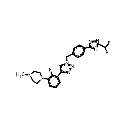 CN1CCN(c2cccc(-c3cn(Cc4ccc(-c5nnc(C(F)F)o5)cc4)nn3)c2F)CC1